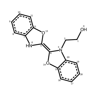 OCCN1/C(=C2/Nc3ccccc3O2)Oc2ccccc21